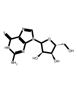 Nc1nc2c(ncn2C2O[C@H](CO)[C@@H](O)[C@H]2O)c(=S)[nH]1